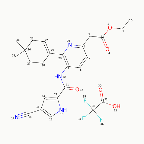 CCOC(=O)Cc1ccc(NC(=O)c2cc(C#N)c[nH]2)c(C2=CCC(C)(C)CC2)n1.O=C(O)C(F)(F)F